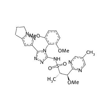 COc1cccc(OC)c1-n1c(NS(=O)(=O)[C@@H](C)[C@H](OC)c2ncc(C)cn2)nnc1-c1cc2n(n1)CCC2